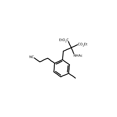 CCOC(=O)C(Cc1cc(C)ccc1CCC#N)(NC(C)=O)C(=O)OCC